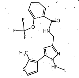 Cc1sccc1-c1cc(CNC(=O)c2ccccc2OC(F)(F)F)nn1PI